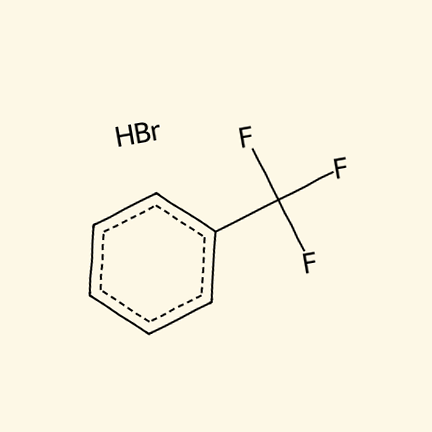 Br.FC(F)(F)c1ccccc1